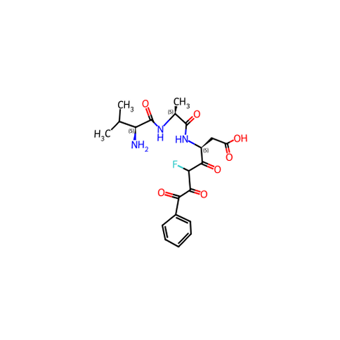 CC(C)[C@H](N)C(=O)N[C@@H](C)C(=O)N[C@@H](CC(=O)O)C(=O)C(F)C(=O)C(=O)c1ccccc1